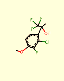 COc1ccc(C(C)(O)C(F)(F)F)c(Cl)c1F